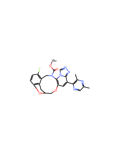 Cc1cnc(-c2cc3c(n4cnnc24)N(C(=O)OC(C)(C)C)Cc2c(F)ccc4c2CC(CO3)O4)c(C)n1